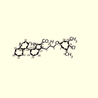 Cc1cc(OCCCc2c(C(=O)O)[nH]c3c(-c4ccnc5ccccc45)cccc23)cc(C)c1Cl